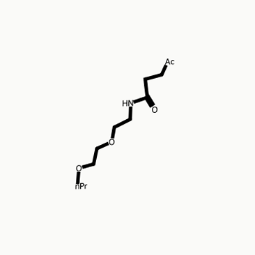 CCCOCCOCCNC(=O)CCC(C)=O